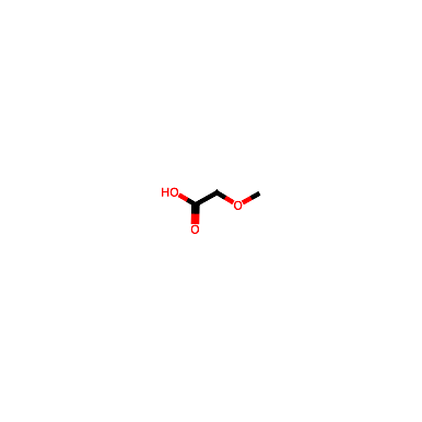 CO[CH]C(=O)O